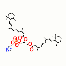 CC(C=CC1=C(C)CCCC1(C)C)=CC=CC(C)=CC(=O)OC[C@H](COP(=O)([O-])OCC[N+](C)(C)C)OC(=O)C=C(C)C=CC=C(C)C=CC1=C(C)CCCC1(C)C